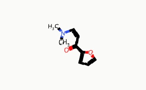 CN(C)/C=C\C(=O)c1ccco1